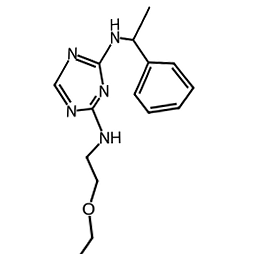 CCOCCNc1ncnc(NC(C)c2ccccc2)n1